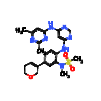 Cc1cc(Nc2cc(Nc3ccc(C4=CCCOC4)cc3N(C)S(C)(=O)=O)ncn2)nc(C)n1